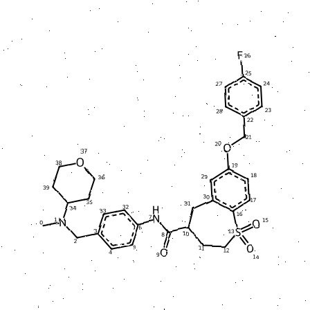 CN(Cc1ccc(NC(=O)C2CCS(=O)(=O)c3ccc(OCc4ccc(F)cc4)cc3C2)cc1)C1CCOCC1